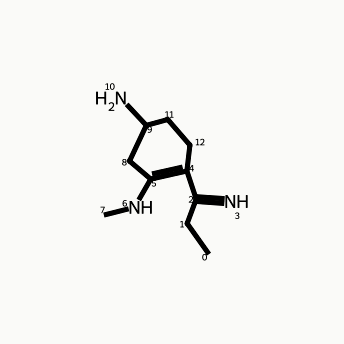 CCC(=N)C1=C(NC)CC(N)CC1